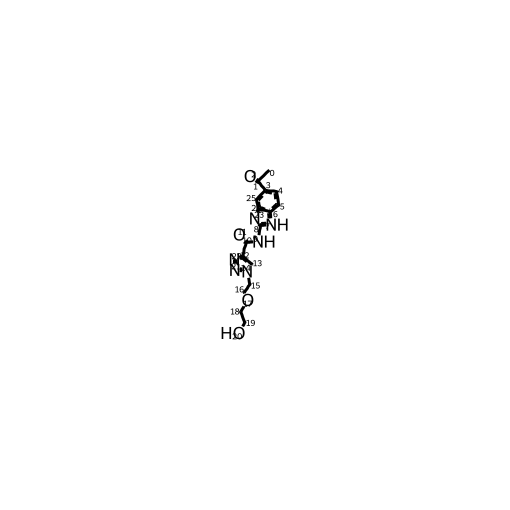 CC(=O)c1ccc2[nH]c(NC(=O)c3cn(CCOCCO)nn3)nc2c1